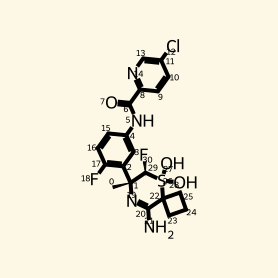 C[C@]1(c2cc(NC(=O)c3ccc(Cl)cn3)ccc2F)N=C(N)C2(CCC2)S(O)(O)[C@@H]1F